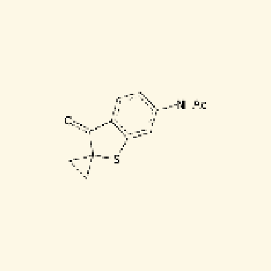 CC(=O)Nc1ccc2c(c1)SC1(CC1)C2=O